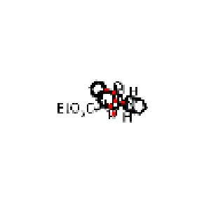 CCOC(=O)Cn1c(=O)n([C@H]2C[C@H]3CCC[C@@H](C2)N3C2C[C@H]3CCCC[C@@H](C2)C3)c(=O)c2ccccc21